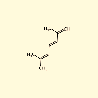 [CH]=C(C)C=CC=C(C)C